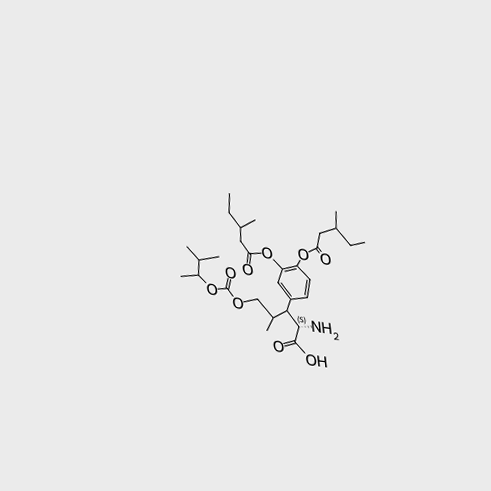 CCC(C)CC(=O)Oc1ccc(C(C(C)COC(=O)OC(C)C(C)C)[C@H](N)C(=O)O)cc1OC(=O)CC(C)CC